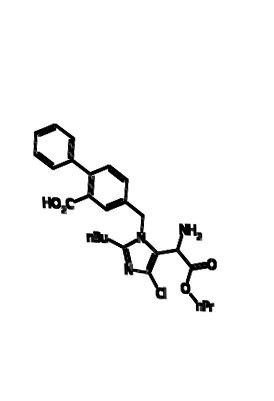 CCCCc1nc(Cl)c(C(N)C(=O)OCCC)n1Cc1ccc(-c2ccccc2)c(C(=O)O)c1